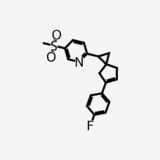 CS(=O)(=O)c1ccc(C2CC23CC=C(c2ccc(F)cc2)C3)nc1